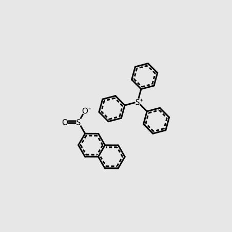 O=S([O-])c1ccc2ccccc2c1.c1ccc([S+](c2ccccc2)c2ccccc2)cc1